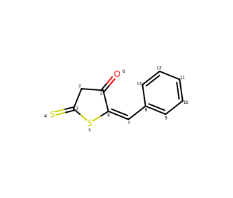 O=C1CC(=S)SC1=Cc1ccccc1